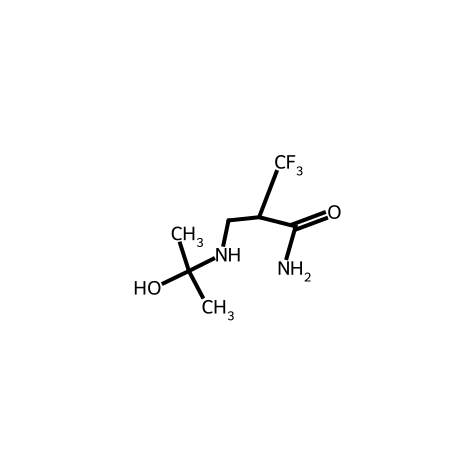 CC(C)(O)NCC(C(N)=O)C(F)(F)F